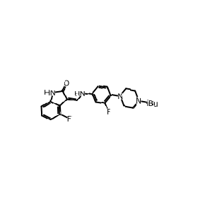 CCC(C)N1CCN(c2ccc(NC=C3C(=O)Nc4cccc(F)c43)cc2F)CC1